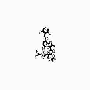 Cc1nc2c(OCc3c(F)cccc3F)cccn2c1C(=O)NC1(c2nn(C(F)F)[nH]2)COC(C)(C)OC1